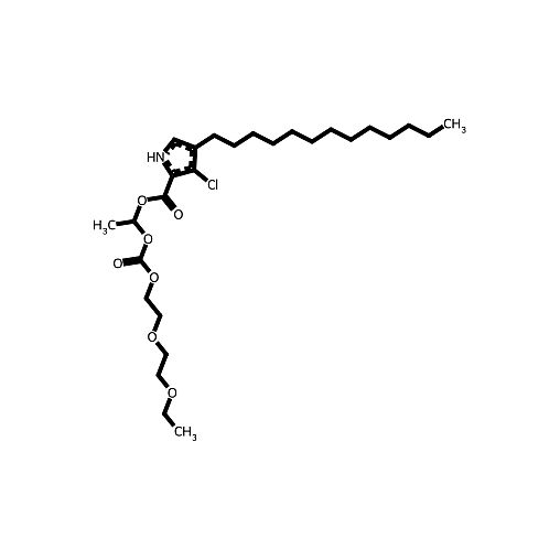 CCCCCCCCCCCCCc1c[nH]c(C(=O)OC(C)OC(=O)OCCOCCOCC)c1Cl